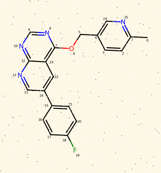 Cc1ccc(COc2ncnc3ncc(-c4ccc(F)cc4)cc23)cn1